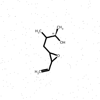 C=CC1OC1CC(C)[C@@H](C)O